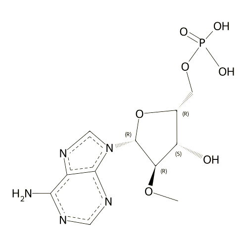 CO[C@@H]1[C@@H](O)[C@@H](COP(=O)(O)O)O[C@H]1n1cnc2c(N)ncnc21